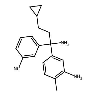 Cc1ccc(C(N)(CCC2CC2)c2cccc(C#N)c2)cc1N